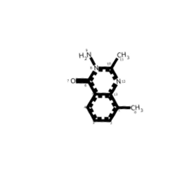 Cc1cccc2c(=O)n(N)c(C)nc12